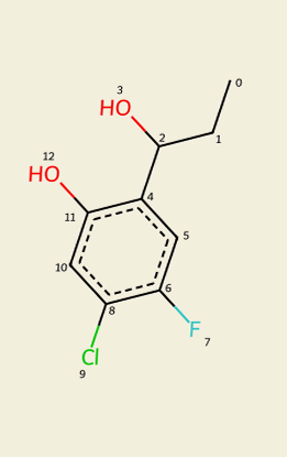 CCC(O)c1cc(F)c(Cl)cc1O